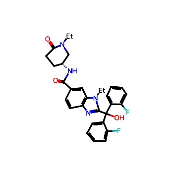 CCN1C[C@H](NC(=O)c2ccc3nc(C(O)(c4ccccc4F)c4ccccc4F)n(CC)c3c2)CCC1=O